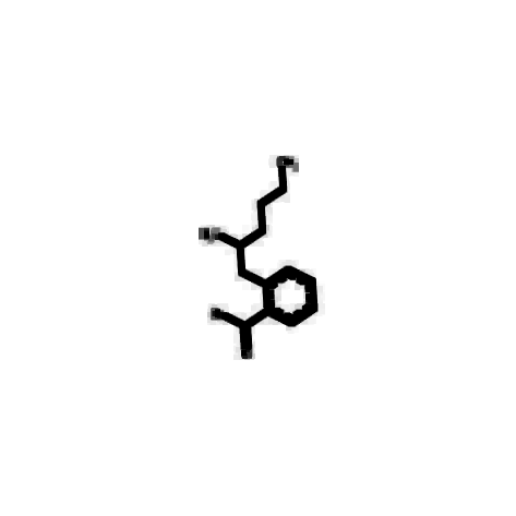 CCCCC(C)Cc1ccccc1C(=O)Br